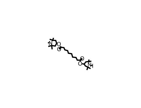 CN1C(C)(C)CC(OC(=O)CCCCCCCCC(=O)OC2CC(C)(C)N(I)C(C)(C)C2)CC1(C)C